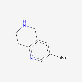 CCC(C)c1cnc2c(c1)CNCC2